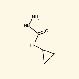 NNC(=O)NC1CC1